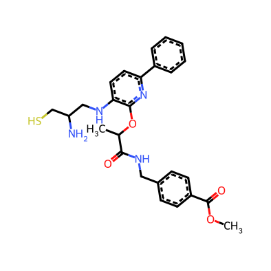 COC(=O)c1ccc(CNC(=O)C(C)Oc2nc(-c3ccccc3)ccc2NCC(N)CS)cc1